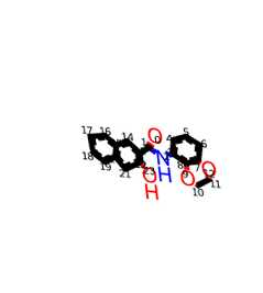 O=C(Nc1cccc2c1OCCO2)c1cc2ccccc2cc1O